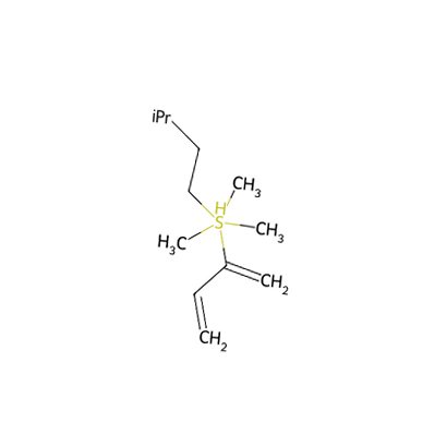 C=CC(=C)[SH](C)(C)(C)CCC(C)C